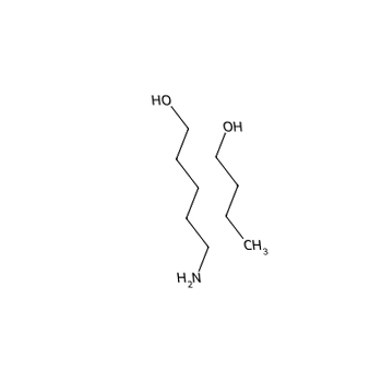 CCCCO.NCCCCCO